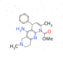 COC(=O)N1C(C)=CC(c2ccccc2)c2c1nc1c(c2N)CN(C)CC1